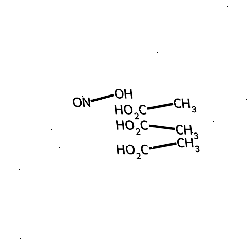 CC(=O)O.CC(=O)O.CC(=O)O.O=NO